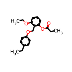 CCOc1cccc(OC(=O)CC)c1COc1ccc(CC)cc1